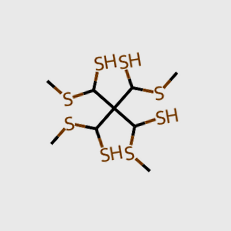 CSC(S)C(C(S)SC)(C(S)SC)C(S)SC